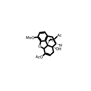 COc1ccc2c3c1OC1C(OC(C)=O)=CC[C@]4(O)[C@H](C2)N(C(C)=O)CC[C@@]314